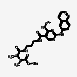 CCCNc1nc(Nc2ccc3nnccc3c2)ncc1C(=O)NCCCNC(=O)[C@H](C)N(C)C(=O)OC(C)(C)C